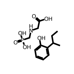 CCC(C)c1ccccc1O.O=C(O)CNCP(=O)(O)O